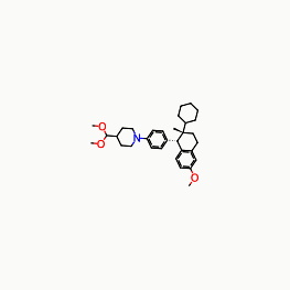 COc1ccc2c(c1)CC[C@@](C)(C1CCCCC1)[C@H]2c1ccc(N2CCC(C(OC)OC)CC2)cc1